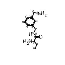 CCC(N)C(=O)NCc1cccc(CN)c1